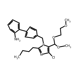 CCCCc1nc(Cl)c(C(OC)OCCOC)n1Cc1ccc(-c2ccccc2N)cc1